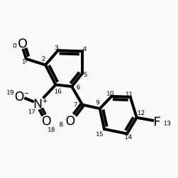 O=[C]c1cccc(C(=O)c2ccc(F)cc2)c1[N+](=O)[O-]